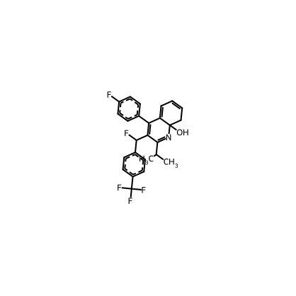 CC(C)C1=NC2(O)CC=CC=C2C(c2ccc(F)cc2)=C1C(F)c1ccc(C(F)(F)F)cc1